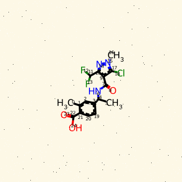 Cc1cc(C(C)NC(=O)c2c(C(F)F)nn(C)c2Cl)ccc1C(=O)O